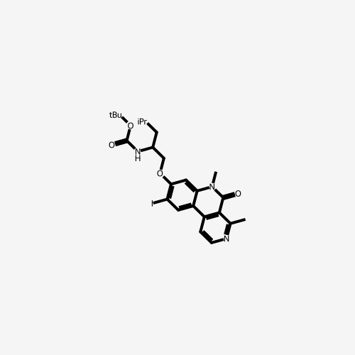 Cc1nccc2c1c(=O)n(C)c1cc(OCC(CC(C)C)NC(=O)OC(C)(C)C)c(I)cc21